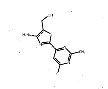 Cc1nc(Cl)cc(-c2nc(N)c(CO)s2)n1